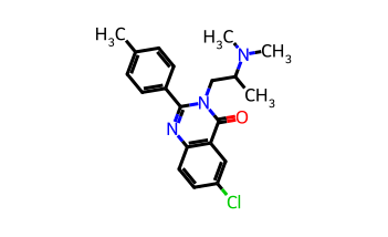 Cc1ccc(-c2nc3ccc(Cl)cc3c(=O)n2CC(C)N(C)C)cc1